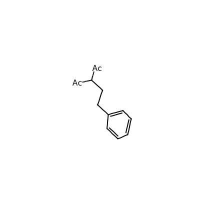 CC(=O)C(CCc1ccccc1)C(C)=O